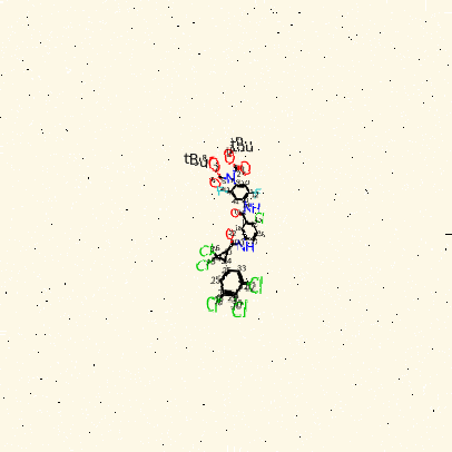 CC(C)(C)OC(=O)N(C(=O)OC(C)(C)C)c1cc(F)c(NC(=O)c2cc(NC(=O)C3[C@H](c4cc(Cl)c(Cl)c(Cl)c4)C3(Cl)Cl)ccc2Cl)cc1F